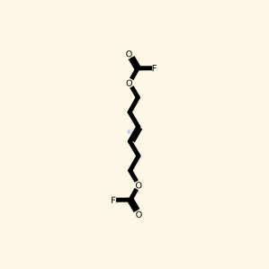 O=C(F)OCC/C=C/CCOC(=O)F